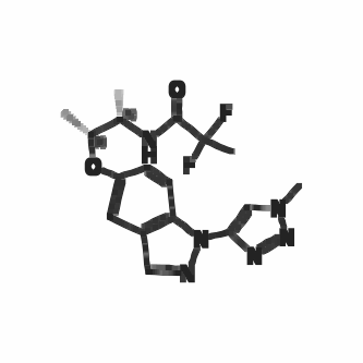 C[C@H](NC(=O)C(C)(F)F)[C@@H](C)Oc1ccc2c(cnn2-c2cn(C)nn2)c1